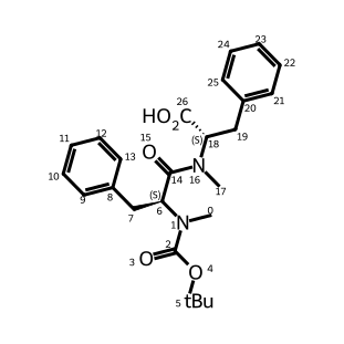 CN(C(=O)OC(C)(C)C)[C@@H](Cc1ccccc1)C(=O)N(C)[C@@H](Cc1ccccc1)C(=O)O